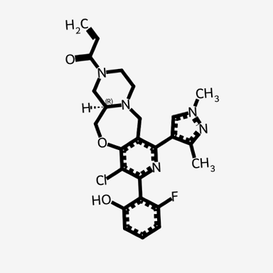 C=CC(=O)N1CCN2Cc3c(-c4cn(C)nc4C)nc(-c4c(O)cccc4F)c(Cl)c3OC[C@H]2C1